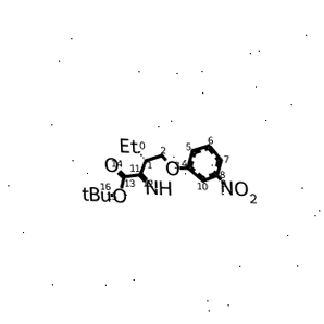 CC[C@H](COc1cccc([N+](=O)[O-])c1)C(=N)C(=O)OC(C)(C)C